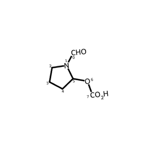 O=CN1CCCC1OC(=O)O